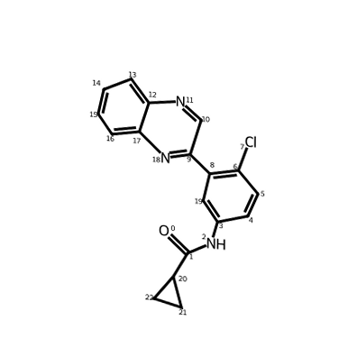 O=C(Nc1ccc(Cl)c(-c2cnc3ccccc3n2)c1)C1CC1